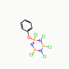 ClN1P(Cl)N=P(Cl)(Oc2ccccc2)N(Cl)P1Cl